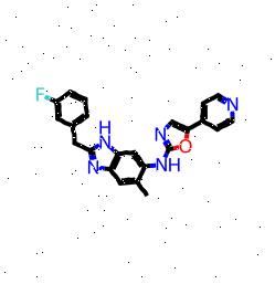 Cc1cc2nc(Cc3cccc(F)c3)[nH]c2cc1Nc1ncc(-c2ccncc2)o1